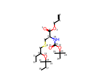 C=CCOC(=O)[C@H](CSCC(CC)OC(C)(C)CC)NC(=O)OC(C)(C)C